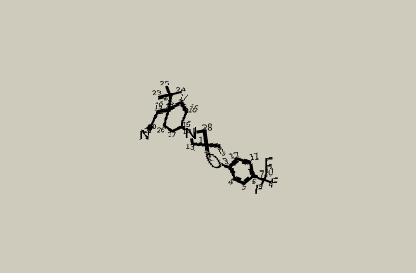 CC1(Oc2ccc(C(F)(F)F)cc2)CN(C2CCC(CC#N)(C(C)(C)C)CC2)C1